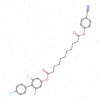 N#Cc1ccc(OC(=O)CCCCCCCCCC(=O)Oc2cc(F)c(-c3ccc(F)cc3)c(F)c2)cc1